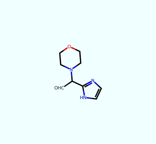 O=CC(c1ncc[nH]1)N1CCOCC1